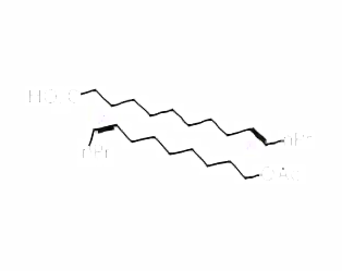 CCC/C=C/CCCCCCCCC(=O)O.CCC/C=C\CCCCCCCOC(C)=O